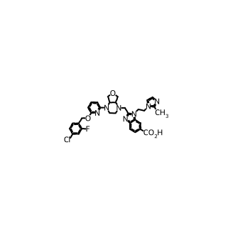 Cc1nccn1CCn1c(CN2CCN(c3cccc(OCc4ccc(Cl)cc4F)n3)C3COCC32)nc2ccc(C(=O)O)cc21